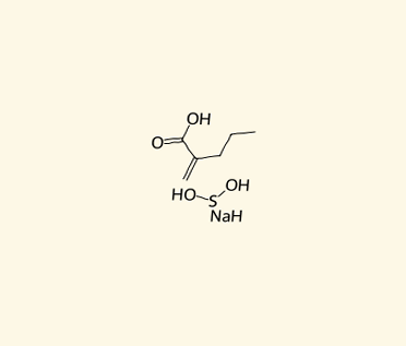 C=C(CCC)C(=O)O.OSO.[NaH]